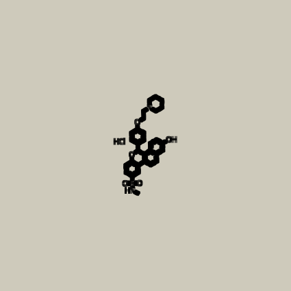 CNS(=O)(=O)c1ccc2c(c1)-c1ccc3cc(O)ccc3c1C(c1ccc(OCCN3CCCCC3)cc1)O2.Cl